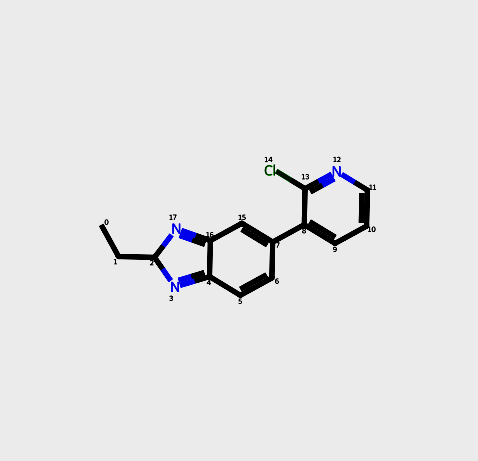 CCC1N=c2ccc(-c3cccnc3Cl)cc2=N1